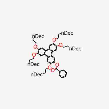 CCCCCCCCCCCCOc1cc2c3cc(OCCCCCCCCCCCC)c(OCCCCCCCCCCCC)cc3c3cc(OC(=O)c4ccccc4)c(OCCCCCCCCCCCC)cc3c2cc1OCCCCCCCCCCCC